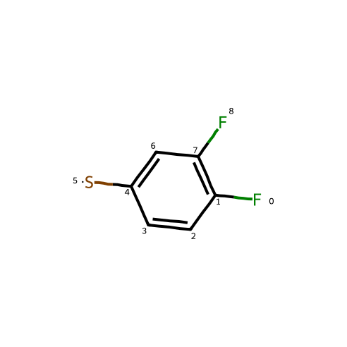 Fc1ccc([S])cc1F